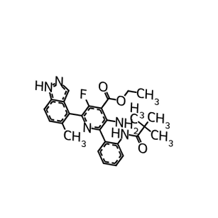 CCOC(=O)c1c(N)c(-c2ccccc2NC(=O)C(C)(C)C)nc(-c2c(C)ccc3[nH]ncc23)c1F